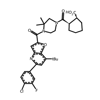 CC(C)(C)c1cc(-c2ccc(Cl)c(F)c2)nc2cc(C(=O)N3CCN(C(=O)[C@@H]4CCCC[C@@H]4C(=O)O)CC3(C)C)oc12